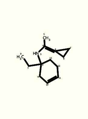 CCC1(NC(C)=C2CC2)CC=CCC1